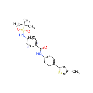 C=C(/C=C\C(=C/C)C(=O)NC1=CC=C(c2cc(C)cs2)CC1)NS(=O)(=O)C(C)(C)C